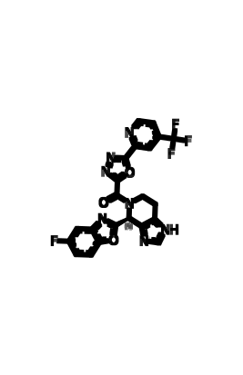 O=C(c1nnc(-c2cc(C(F)(F)F)ccn2)o1)N1CCc2[nH]cnc2[C@H]1c1nc2cc(F)ccc2o1